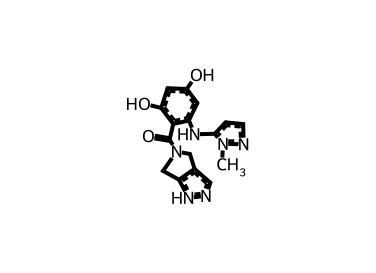 Cn1nccc1Nc1cc(O)cc(O)c1C(=O)N1Cc2cn[nH]c2C1